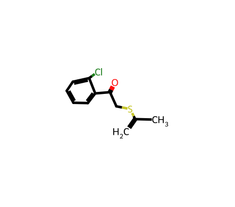 C=C(C)SCC(=O)c1ccccc1Cl